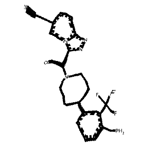 N#Cc1ccc2nnc(C(=O)N3CCC(c4cccc(P)c4C(F)(F)F)CC3)n2c1